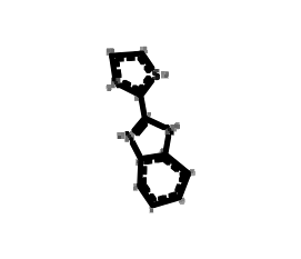 c1ccc2c(c1)[N]C(c1nccs1)=N2